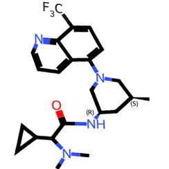 C[C@H]1C[C@@H](NC(=O)C(C2CC2)N(C)C)CN(c2ccc(C(F)(F)F)c3ncccc23)C1